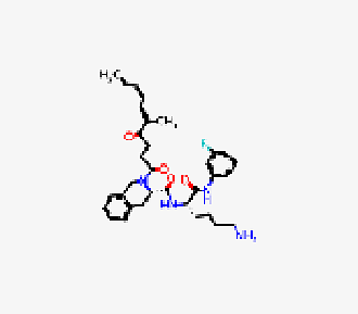 C=C/C=C\C=C(/C)C(=O)CCC(=O)N1Cc2ccccc2C[C@H]1C(=O)N[C@@H](CCCCN)C(=O)Nc1cccc(F)c1